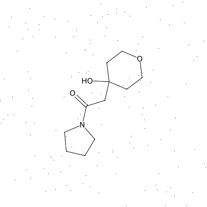 O=C(CC1(O)CCOCC1)N1CCCC1